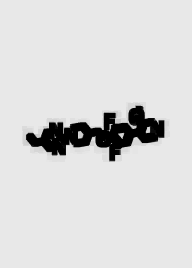 CCc1cnc(N2CCC(COc3c(F)cc(-c4ccncc4OC)cc3F)CC2)nc1